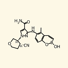 Cc1c(Nc2nn([C@@H]3COCC[C@H]3C#N)cc2C(N)=O)ccc2c1C=CB(O)O2